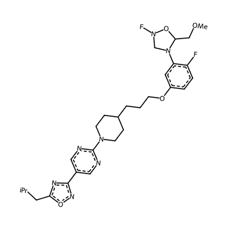 COCC1ON(F)CN1c1cc(OCCCC2CCN(c3ncc(-c4noc(CC(C)C)n4)cn3)CC2)ccc1F